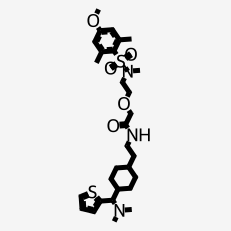 COc1cc(C)c(S(=O)(=O)N(C)CCOCC(=O)NCCC2CCC(C(c3cccs3)N(C)C)CC2)c(C)c1